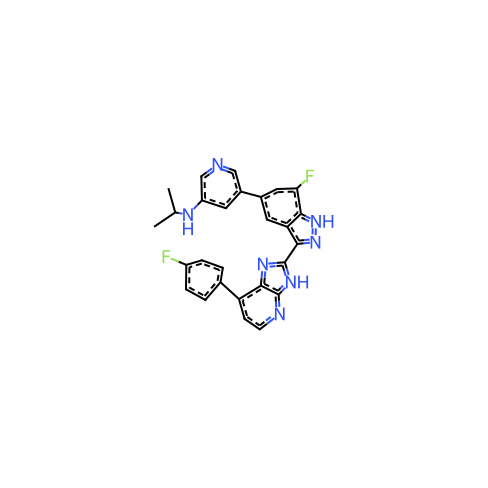 CC(C)Nc1cncc(-c2cc(F)c3[nH]nc(-c4nc5c(-c6ccc(F)cc6)ccnc5[nH]4)c3c2)c1